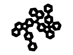 c1ccc(-c2ccc(-n3c4cc(N(c5ccc6c(c5)C(c5ccccc5)(c5ccc(-c7ccccc7)cc5)c5ccccc5-6)c5cccc6ccccc56)ccc4c4ccc5ccccc5c43)cc2)cc1